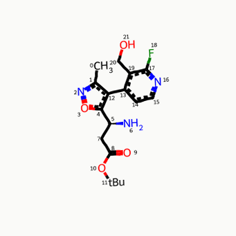 Cc1noc([C@@H](N)CC(=O)OC(C)(C)C)c1-c1ccnc(F)c1CO